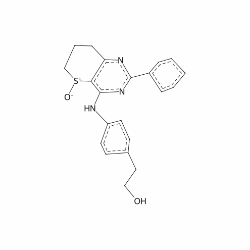 [O-][S+]1CCCc2nc(-c3ccccc3)nc(Nc3ccc(CCO)cc3)c21